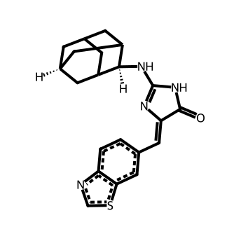 O=C1NC(N[C@H]2C3CC4CC2C[C@H](C4)C3)=N/C1=C\c1ccc2ncsc2c1